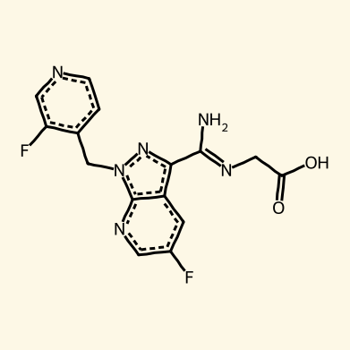 NC(=NCC(=O)O)c1nn(Cc2ccncc2F)c2ncc(F)cc12